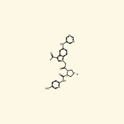 CC(=O)c1cn(CC(=O)N2C[C@H](F)C[C@H]2C(=O)Nc2ccc(O)cn2)c2ccc(Nc3cncnc3)cc12